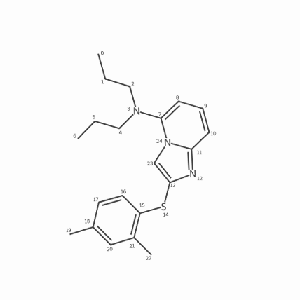 CCCN(CCC)c1cccc2nc(Sc3ccc(C)cc3C)cn12